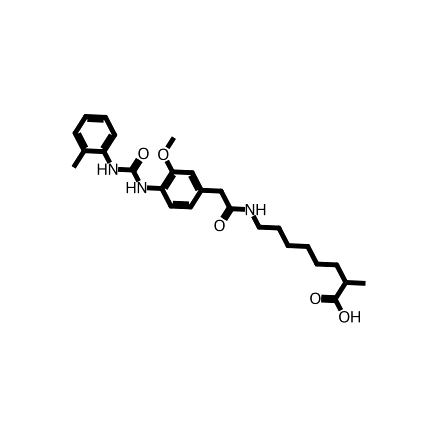 COc1cc(CC(=O)NCCCCCCC(C)C(=O)O)ccc1NC(=O)Nc1ccccc1C